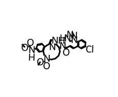 COC(=O)Nc1ccc2c(c1)CN(C(=O)OC)CCCC[C@H](NC(=O)C=Cc1cc(Cl)ccc1-n1cnnn1)c1nc-2c[nH]1